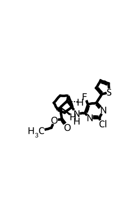 CCOC(=O)[C@@H]1C2CCC(CC2)[C@H]1Nc1nc(Cl)nc(-c2cccs2)c1F